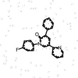 O=c1c(-c2ccccc2)cc(-c2ccccn2)cn1-c1ccc(F)cc1